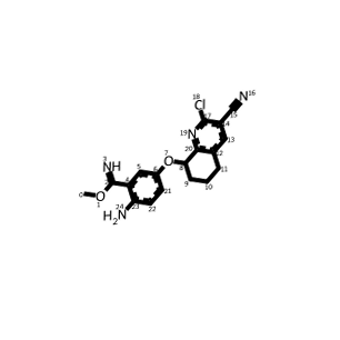 COC(=N)c1cc(OC2CCCc3cc(C#N)c(Cl)nc32)ccc1N